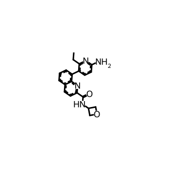 CCc1nc(N)ccc1-c1cccc2ccc(C(=O)NC3COC3)nc12